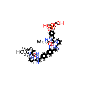 COC(=O)N[C@@H](Cc1ccc(OP(=O)(O)OOCO)cc1)C(=O)N1CCC[C@H]1c1ncc(-c2ccc(-c3ccc(-c4cnc([C@@H]5CCCN5C(=O)[C@H]([C@@H](C)OC)N(C)C(=O)O)[nH]4)cc3)cc2)[nH]1